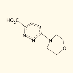 O=C(O)c1ccc(N2CCOCC2)nn1